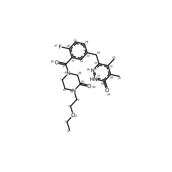 CCOCCN1CCN(C(=O)c2cc(Cc3n[nH]c(=O)c(C)c3C)ccc2F)CC1=O